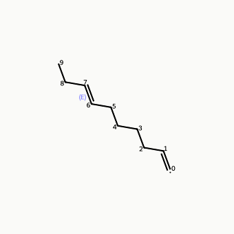 [CH]=CCCCC/C=C/CC